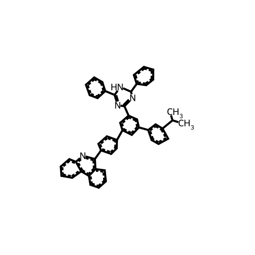 CC(C)c1cccc(-c2cc(C3=NC(c4ccccc4)NC(c4ccccc4)=N3)cc(-c3ccc(-c4nc5ccccc5c5ccccc45)cc3)c2)c1